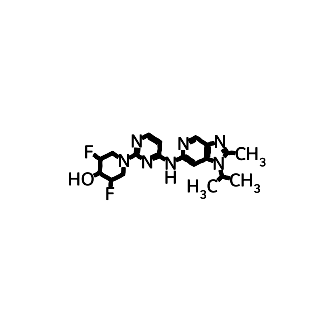 Cc1nc2cnc(Nc3ccnc(N4CC(F)C(O)C(F)C4)n3)cc2n1C(C)C